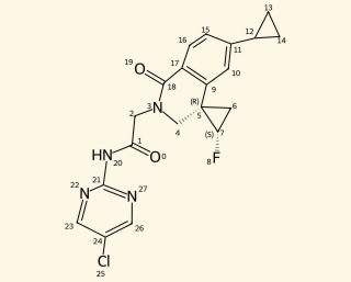 O=C(CN1C[C@@]2(C[C@@H]2F)c2cc(C3CC3)ccc2C1=O)Nc1ncc(Cl)cn1